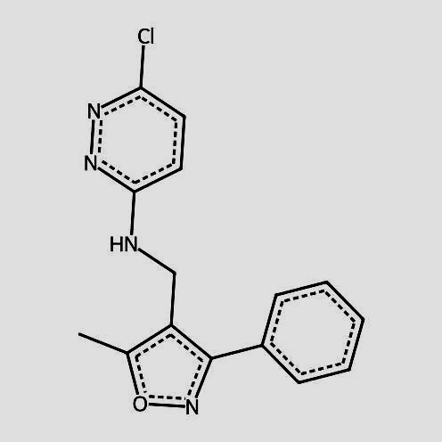 Cc1onc(-c2ccccc2)c1CNc1ccc(Cl)nn1